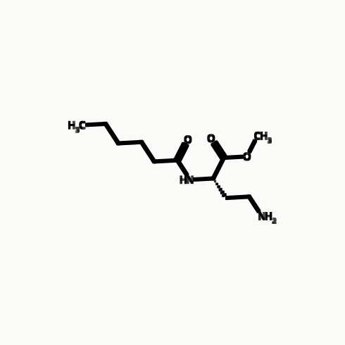 CCCCCC(=O)N[C@@H](CCN)C(=O)OC